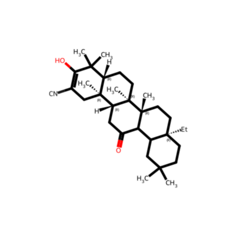 [C-]#[N+]C1=C(O)C(C)(C)[C@@H]2CC[C@]3(C)[C@H](CC(=O)C4C5CC(C)(C)CC[C@]5(CC)CC[C@]43C)[C@@]2(C)C1